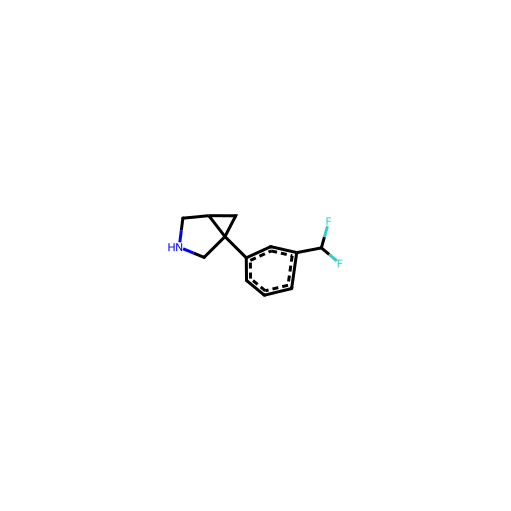 FC(F)c1cccc(C23CNCC2C3)c1